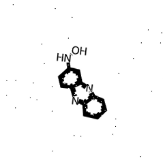 ONc1ccc2nc3ccccc3nc2c1